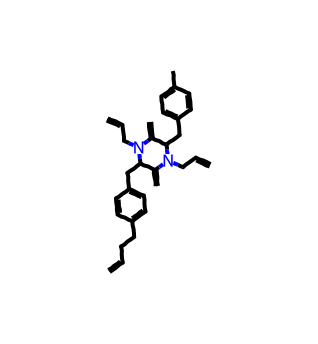 C=CCCc1ccc(CC2C(=C)N(CC=C)C(Cc3ccc(C)cc3)C(=C)N2CC=C)cc1